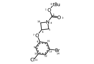 CC(C)(C)OC(=O)N1CC(Oc2cc(Cl)cc(Br)c2)C1